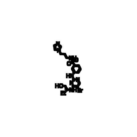 CC[C@H](CO)Nc1nc(Nc2cccc(S(=O)(=O)NCCCn3ccnc3)c2)ncc1Br